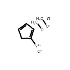 C[O-].C[O-].[Cl-].[Cl-].[V+4][C]1=CC=CC1